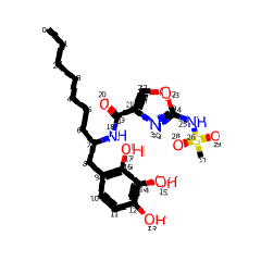 CCCCCCCC(Cc1ccc(O)c(O)c1O)NC(=O)c1coc(NS(C)(=O)=O)n1